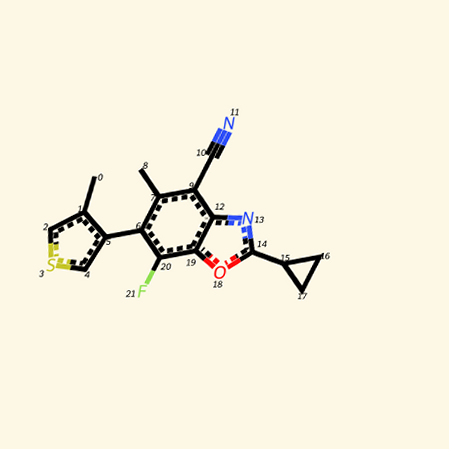 Cc1cscc1-c1c(C)c(C#N)c2nc(C3CC3)oc2c1F